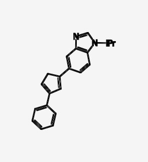 CC(C)n1cnc2cc(C3=CC(c4ccccc4)=CC3)ccc21